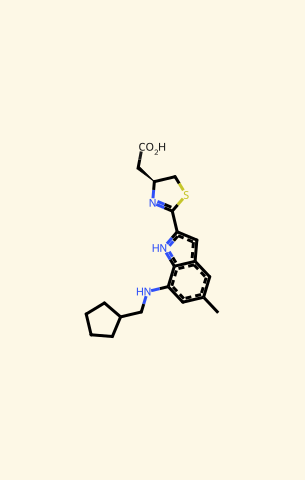 Cc1cc(NCC2CCCC2)c2[nH]c(C3=N[C@@H](CC(=O)O)CS3)cc2c1